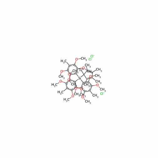 COc1c(C)c(OC)c(OC)c([Si](c2c(OC)c(OC)c(C)c(OC)c2OC)(c2c(OC)c(OC)c(C)c(OC)c2OC)[C]2([Ti+3])C(C)=C(C)C(C)=C2C)c1OC.[Cl-].[Cl-].[Cl-]